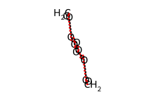 C=CC(=O)OCCCCCCCCCCCCOc1ccc(C#CC(=O)Oc2ccc(OC(=O)C3CCC(OCCCCCCCCCCCCOC(=O)C=C)CC3)cc2)cc1